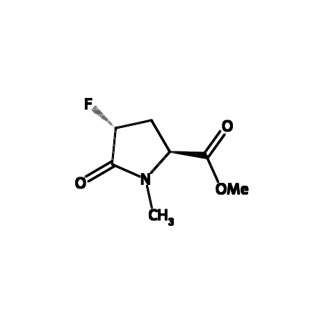 COC(=O)[C@@H]1C[C@@H](F)C(=O)N1C